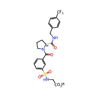 O=C(O)CNS(=O)(=O)c1cccc(C(=O)N2CCC[C@@H]2C(=O)NCc2ccc(C(F)(F)F)cc2)c1